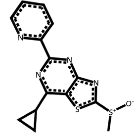 C[S+]([O-])c1nc2nc(-c3ccccn3)nc(C3CC3)c2s1